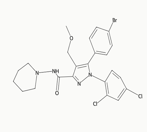 COCc1c(C(=O)NN2CCCCC2)nn(-c2ccc(Cl)cc2Cl)c1-c1ccc(Br)cc1